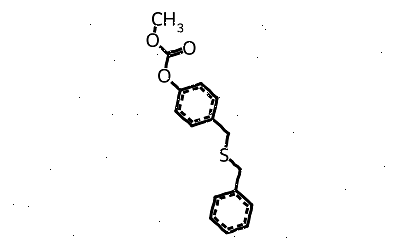 COC(=O)Oc1ccc(CSCc2ccccc2)cc1